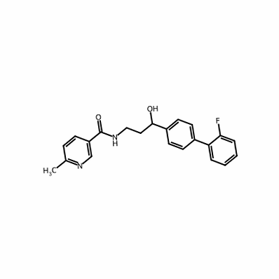 Cc1ccc(C(=O)NCCC(O)c2ccc(-c3ccccc3F)cc2)cn1